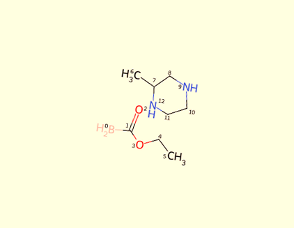 BC(=O)OCC.CC1CNCCN1